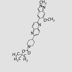 COc1cc2nn(C)cc2cc1-c1ccc2nc(C3CCN(C(=O)OC(C)(C)C)CC3)ccc2n1